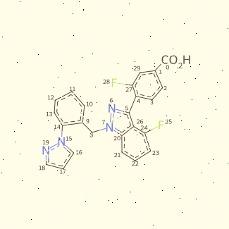 O=C(O)c1ccc(-c2nn(Cc3ccccc3-n3cccn3)c3cccc(F)c23)c(F)c1